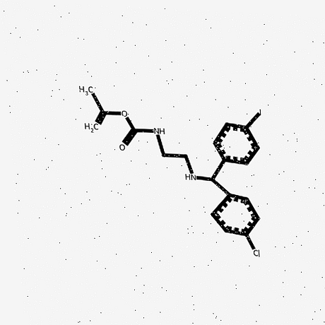 C=C(C)OC(=O)NCCNC(c1ccc(Cl)cc1)c1ccc(I)cc1